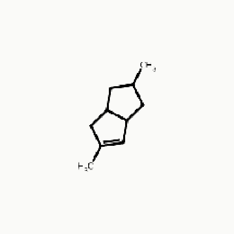 CC1=CC2CC(C)CC2C1